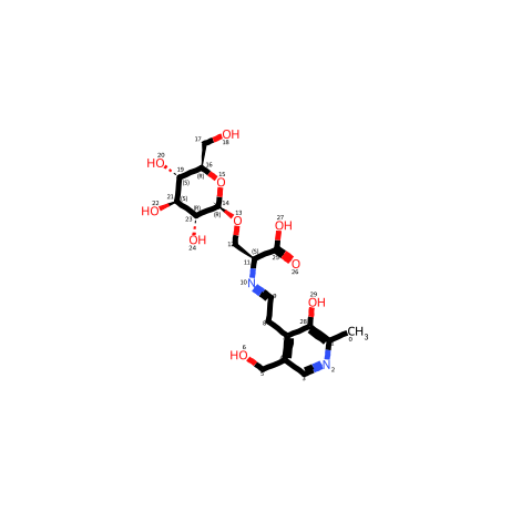 Cc1ncc(CO)c(CC=N[C@@H](CO[C@@H]2O[C@H](CO)[C@@H](O)[C@H](O)[C@H]2O)C(=O)O)c1O